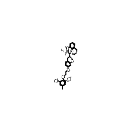 COc1cccc2c1N(C(N)C(C=O)Cc1ccc(OCCOc3c(Cl)cc(C)cc3Cl)cc1)CCC2